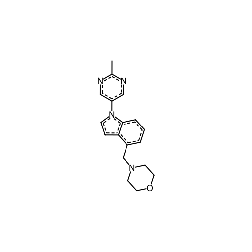 Cc1ncc(-n2ccc3c(CN4CCOCC4)cccc32)cn1